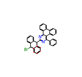 BrC12c3ccccc3C(c3nc(-c4ccccc4)c4c5ccccc5c5ccccc5c4n3)(c3ccccc31)c1ccccc12